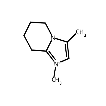 Cc1c[n+](C)c2n1CCCC2